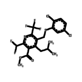 COC(=O)c1c(C(F)F)nc(C(F)(F)F)c(CSc2cc(Cl)ccc2Cl)c1CC(C)C